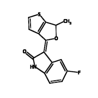 CC1O/C(=C2/C(=O)Nc3ccc(F)cc32)c2ccsc21